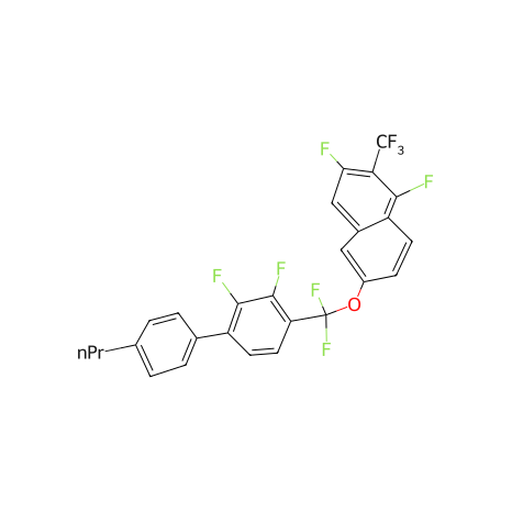 CCCc1ccc(-c2ccc(C(F)(F)Oc3ccc4c(F)c(C(F)(F)F)c(F)cc4c3)c(F)c2F)cc1